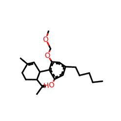 C=C(C)C1CCC(C)=CC1c1c(O)cc(CCCCC)cc1OCOC